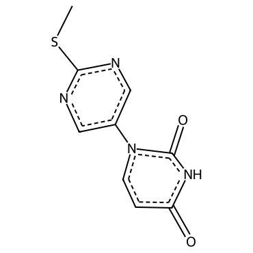 CSc1ncc(-n2ccc(=O)[nH]c2=O)cn1